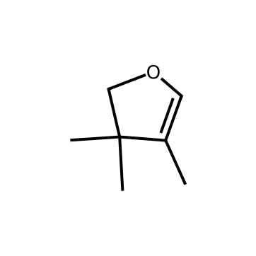 CC1=COCC1(C)C